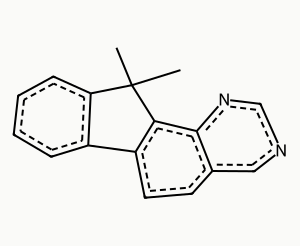 CC1(C)c2ccccc2-c2ccc3cncnc3c21